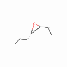 C[CH][C@@H]1O[C@H]1CCC